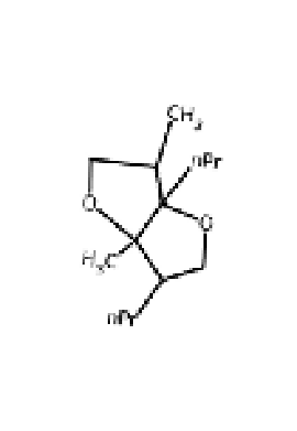 CCCC1COC2(CCC)C(C)COC12C